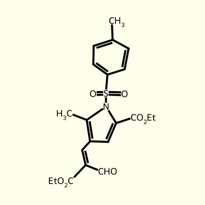 CCOC(=O)/C(C=O)=C/c1cc(C(=O)OCC)n(S(=O)(=O)c2ccc(C)cc2)c1C